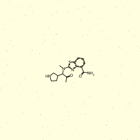 CC(=O)C(C1CCNC1)N(C)c1nc2c(C(N)=O)c[c]cc2s1